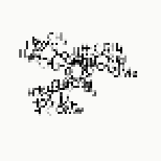 CCC1(C)OC(OCC2(C)OC(C)(OCC3(C)OC(C)(OC)C(C)C(C)(O)C3(C)O)C(C)(O)C(OC3(C)OC(C)(COC)C(C)(O)C(C)(O)C3C)C2(C)O)C(C)C(C)(O)C1(C)O